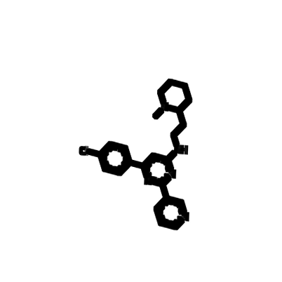 CN1CCCCC1CCNc1cc(-c2ccc(Cl)cc2)nc(-c2cccnc2)n1